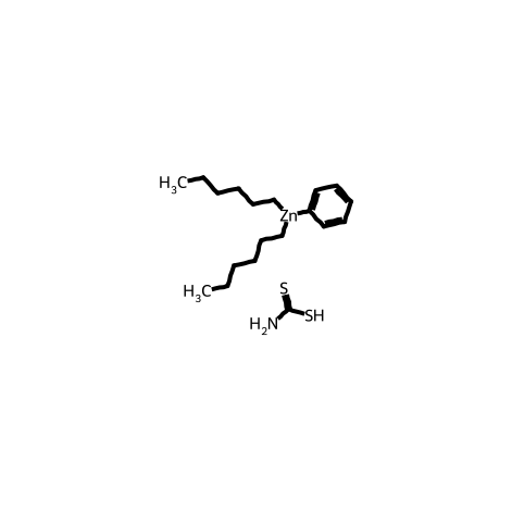 CCCCC[CH2][Zn]([CH2]CCCCC)[c]1ccccc1.NC(=S)S